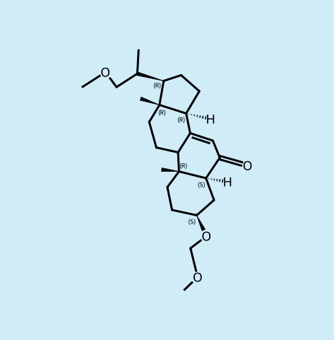 COCO[C@H]1CC[C@]2(C)C3CC[C@]4(C)[C@@H](C(C)COC)CC[C@H]4C3=CC(=O)[C@H]2C1